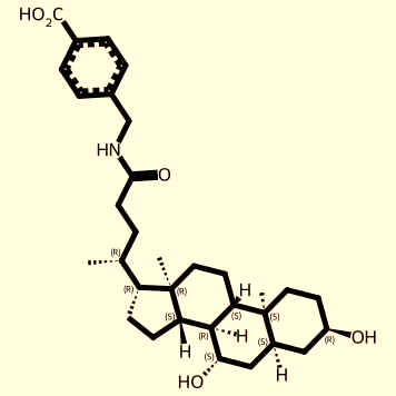 C[C@H](CCC(=O)NCc1ccc(C(=O)O)cc1)[C@H]1CC[C@H]2[C@@H]3[C@@H](O)C[C@@H]4C[C@H](O)CC[C@]4(C)[C@H]3CC[C@]12C